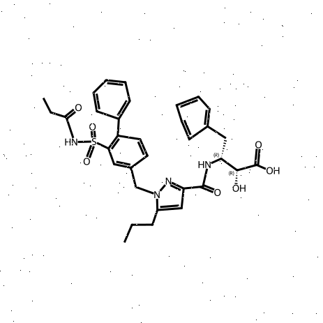 CCCc1cc(C(=O)N[C@H](Cc2ccccc2)[C@@H](O)C(=O)O)nn1Cc1ccc(-c2ccccc2)c(S(=O)(=O)NC(=O)CC)c1